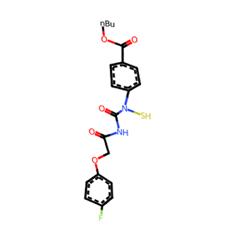 CCCCOC(=O)c1ccc(N(S)C(=O)NC(=O)COc2ccc(F)cc2)cc1